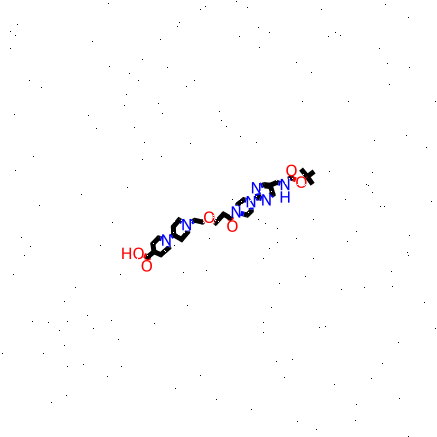 CC(C)(C)OC(=O)NCc1cnc(N2CCN(C(=O)CCOCCN3CCC(N4CCC(C(=O)O)CC4)CC3)CC2)nc1